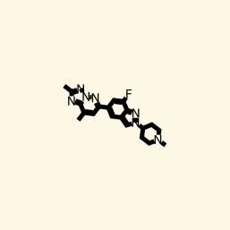 Cc1nc2c(C)cc(-c3cc(F)c4nn(C5CCN(C)CC5)cc4c3)nn2n1